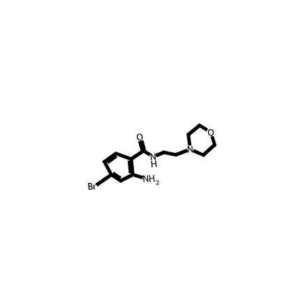 Nc1cc(Br)ccc1C(=O)NCCN1CCOCC1